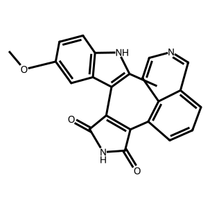 COc1ccc2[nH]c(C)c(C3=C(c4cccc5cnccc45)C(=O)NC3=O)c2c1